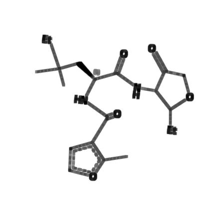 CCC1OCC(=O)C1NC(=O)[C@H](CC(C)(C)CC)NC(=O)c1ccoc1C